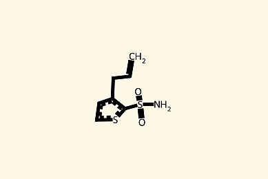 C=CCc1ccsc1S(N)(=O)=O